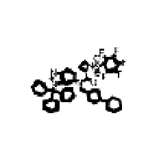 O=C([C@H]1CCN1S(=O)(=O)c1c(F)c(F)c(F)c(F)c1F)N(Cc1ccc(C2CCCCC2)cc1)c1ccc2ncn(C(c3ccccc3)(c3ccccc3)c3ccccc3)c2c1